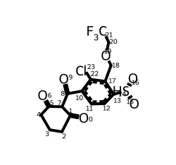 O=C1CCCC(=O)C1C(=O)c1ccc([SH](=O)=O)c(COCC(F)(F)F)c1Cl